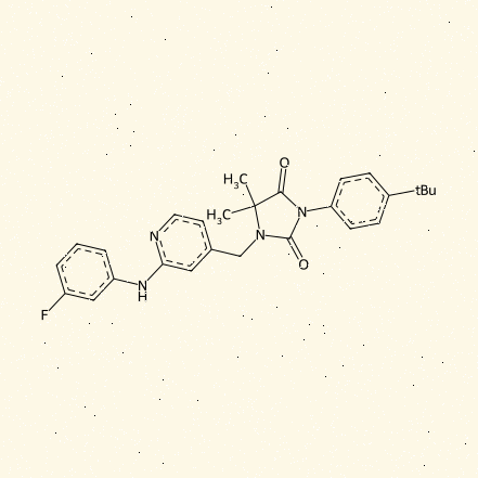 CC(C)(C)c1ccc(N2C(=O)N(Cc3ccnc(Nc4cccc(F)c4)c3)C(C)(C)C2=O)cc1